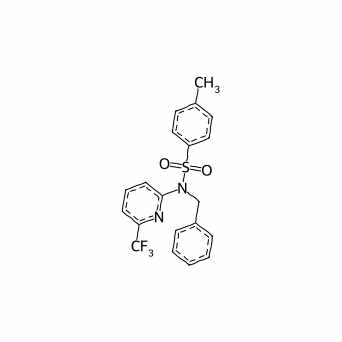 Cc1ccc(S(=O)(=O)N(Cc2ccccc2)c2cccc(C(F)(F)F)n2)cc1